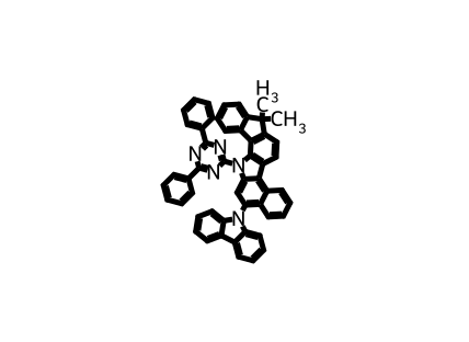 CC1(C)c2ccccc2-c2c1ccc1c3c4ccccc4c(-n4c5ccccc5c5ccccc54)cc3n(-c3nc(-c4ccccc4)nc(-c4ccccc4)n3)c21